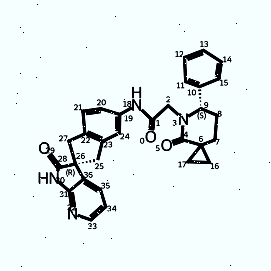 O=C(CN1C(=O)C2(CC[C@H]1c1ccccc1)CC2)Nc1ccc2c(c1)C[C@@]1(C2)C(=O)Nc2ncccc21